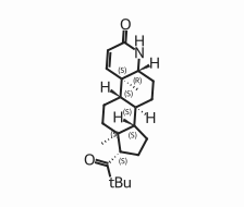 CC(C)(C)C(=O)[C@H]1CC[C@H]2[C@@H]3CC[C@H]4NC(=O)C=C[C@]4(C)[C@H]3CC[C@]12C